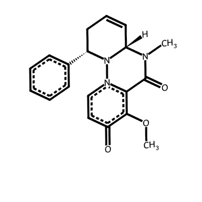 COc1c2n(ccc1=O)N1[C@H](C=CC[C@H]1c1ccccc1)N(C)C2=O